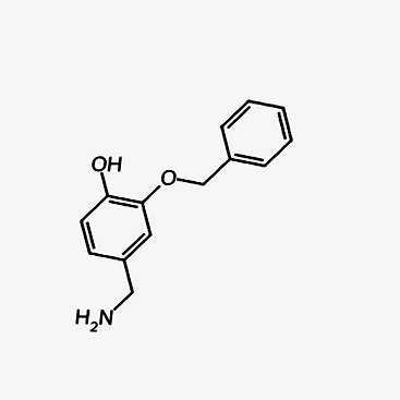 NCc1ccc(O)c(OCc2ccccc2)c1